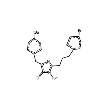 CCCn1c(CCCc2ccc(Br)cc2)nn(Cc2ccc(C(C)(C)C)cc2)c1=O